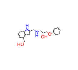 OCc1cccc2[nH]c(CNCC(O)COc3ccccc3)cc12